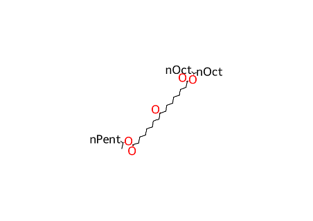 CCCCCCCCC(CCCCCCCC)OC(=O)CCCCCCCC(=O)CCCCCCCC(=O)OC(C)CCCCC